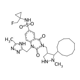 Cc1nnc(Cn2c(=O)n(CC3CNN(C)C3C3CCCCCCCCC3)c(=O)c3cc(S(=O)(=O)NC4(CF)CC4)ccc32)[nH]1